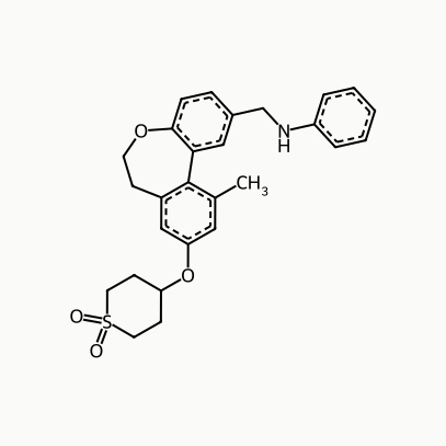 Cc1cc(OC2CCS(=O)(=O)CC2)cc2c1-c1cc(CNc3ccccc3)ccc1OCC2